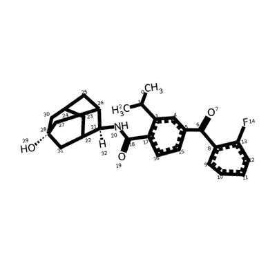 CC(C)c1cc(C(=O)c2ccccc2F)ccc1C(=O)N[C@H]1C2CC3CC1C[C@](O)(C3)C2